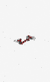 CN(C)C(=O)N[C@@H](C(=O)N1CC=C[C@H]1c1nc(-c2ccc(-c3ccc(-c4c[nH]c([C@@H]5CCCN5C(=O)[C@H](NC(=O)N(C)C)c5ccccc5)n4)cc3)cc2)c[nH]1)c1ccccc1